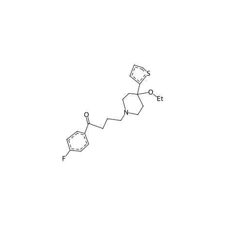 CCOC1(c2cccs2)CCN(CCCC(=O)c2ccc(F)cc2)CC1